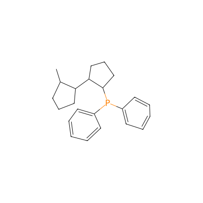 CC1CCCC1C1CCCC1P(c1ccccc1)c1ccccc1